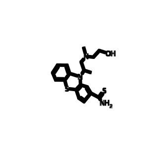 CC(CN(C)CCO)N1c2ccccc2Sc2ccc(C(N)=S)cc21